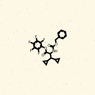 O=C(NC(C(=O)Oc1c(F)c(F)c(F)c(F)c1F)C(C1CC1)C1CC1)OCc1ccccc1